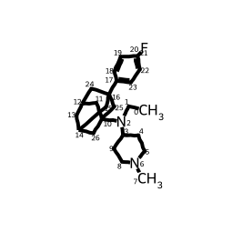 CCN(C1CCN(C)CC1)C12CC3CC(CC(c4ccc(F)cc4)(C3)C1)C2